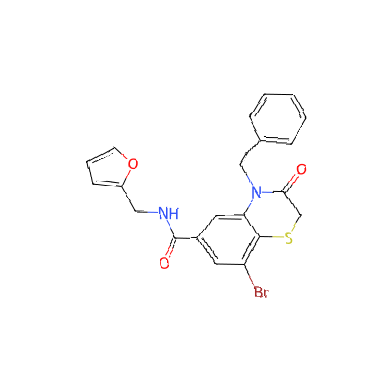 O=C(NCc1ccco1)c1cc(Br)c2c(c1)N(Cc1ccccc1)C(=O)CS2